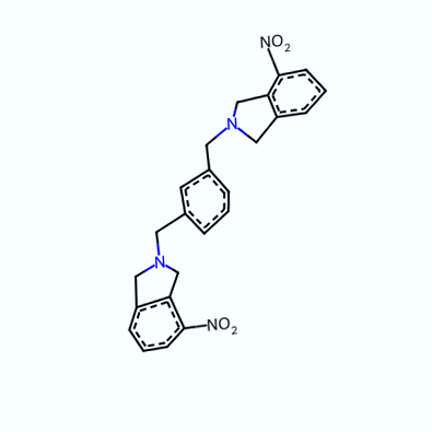 O=[N+]([O-])c1cccc2c1CN(Cc1cccc(CN3Cc4cccc([N+](=O)[O-])c4C3)c1)C2